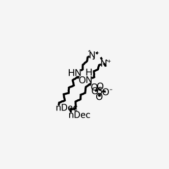 CCCCCCCCCCCCCCCCCC(=O)NCCCC[N+](C)(C)C.CCCCCCCCCCCCCCCCCC(=O)NCCCC[N+](C)(C)C.O=S(=O)([O-])[O-]